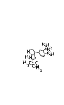 CC(C)(O)c1cc2c(-c3ccc4[nH]nc(N)c4c3)ccnc2[nH]1